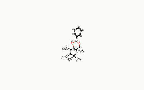 COC1C(OC(C)=O)C(C)(C)CC2(C)COC(c3ccccc3)OC12